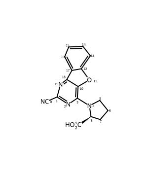 N#Cc1nc(N2CCC[C@H]2C(=O)O)c2oc3ccccc3c2n1